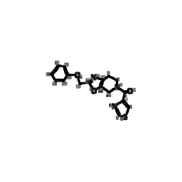 O=C(c1cscn1)N1CCc2nc(COc3ccccc3)oc2C1